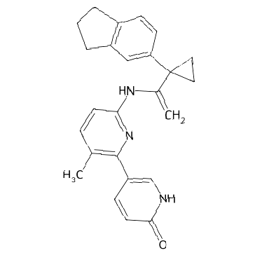 C=C(Nc1ccc(C)c(-c2ccc(=O)[nH]c2)n1)C1(c2ccc3c(c2)CCC3)CC1